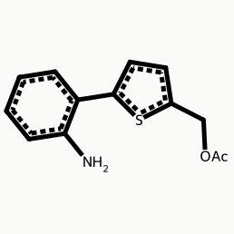 CC(=O)OCc1ccc(-c2ccccc2N)s1